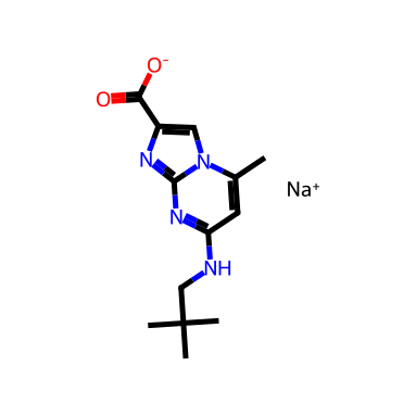 Cc1cc(NCC(C)(C)C)nc2nc(C(=O)[O-])cn12.[Na+]